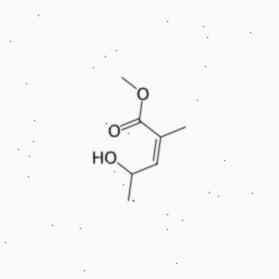 [CH2]C(O)C=C(C)C(=O)OC